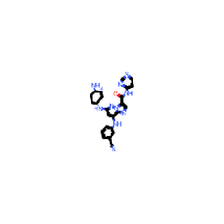 N#Cc1cccc(Nc2cc(N[C@H]3CC[C@H](N)CC3)nn3c(C(=O)Nc4ccncn4)cnc23)c1